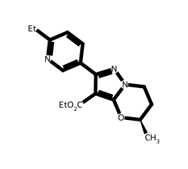 CCOC(=O)c1c(-c2ccc(CC)nc2)nn2c1O[C@H](C)CC2